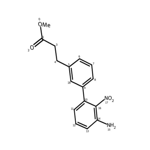 COC(=O)CCc1cccc(-c2cccc(N)c2[N+](=O)[O-])c1